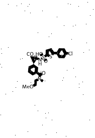 COCCN(C)C(=O)c1cccc([C@@H]2C[C@]2(NS(=O)(=O)c2ccc(-c3ccc(Cl)cc3)s2)C(=O)O)c1